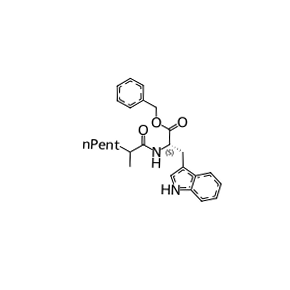 CCCCCC(C)C(=O)N[C@@H](Cc1c[nH]c2ccccc12)C(=O)OCc1ccccc1